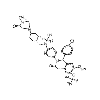 [2H]C([2H])([2H])Oc1cc2c(cc1OC(C)C)C(c1ccc(Cl)cc1)N(c1ccc(N(C[C@H]3CC[C@H](N4CCN(C)C(=O)C4)CC3)C([2H])([2H])[2H])nc1)C(=O)C2